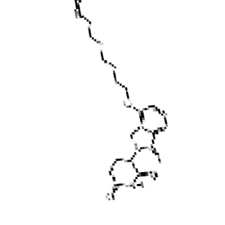 [N-]=[N+]=NCCCCCCCOc1cccc2c1CN(C1CCC(=O)NC1=O)C2=O